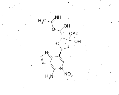 CC(=N)OC(O)[C@H]1O[C@H](c2cn([N+](=O)[O-])c(N)c3ccnc2-3)C[C@@]1(O)OC(C)=O